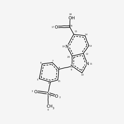 CS(=O)(=O)c1cccc(-n2cnc3ccc(C(=O)O)nc32)c1